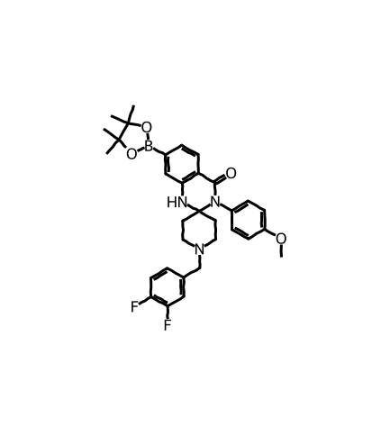 COc1ccc(N2C(=O)c3ccc(B4OC(C)(C)C(C)(C)O4)cc3NC23CCN(Cc2ccc(F)c(F)c2)CC3)cc1